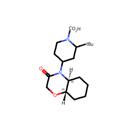 CC(C)(C)C1CC(N2C(=O)CO[C@H]3CCCC[C@@H]32)CCN1C(=O)O